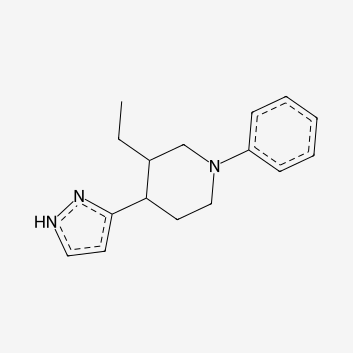 CCC1CN(c2ccccc2)CCC1c1cc[nH]n1